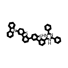 C1=CC2c3ccccc3N(C3=Cc4c(sc5c(-c6ccc7sc8c(C9NC(c%10ccccc%10)=NC(c%10ccccc%10)N9)cccc8c7c6)cccc45)CC3)C2C=C1